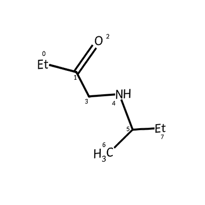 CCC(=O)CNC(C)CC